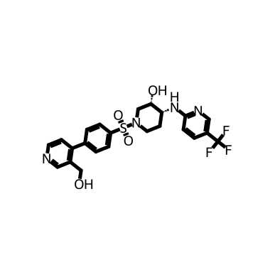 O=S(=O)(c1ccc(-c2ccncc2CO)cc1)N1CC[C@@H](Nc2ccc(C(F)(F)F)cn2)[C@@H](O)C1